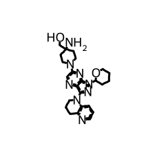 NC1(CO)CCN(c2cnc3c(N4CCCc5ncccc54)nn(C4CCCCO4)c3n2)CC1